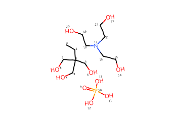 CCC(CO)(CO)CO.O=P(O)(O)O.OCCN(CCO)CCO